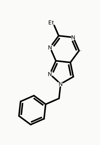 CCc1n[c]c2cn(Cc3ccccc3)nc2n1